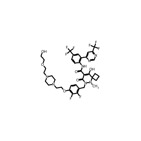 CN1N(Cc2ccc(OCCN3CCN(CCOCCO)CC3)c(F)c2F)C(=O)C(C(=O)Nc2ccc(C(F)(F)F)cc2-c2cc(C(F)(F)F)ncn2)=C(O)C12CCC2